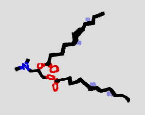 CC/C=C/C/C=C/CCCC(=O)OCC(CN(C)C)OC(=O)CCC/C=C/C/C=C/CC